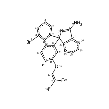 NC1=NC(c2cccc(Br)c2)(c2ccnc(OC=C(F)F)c2)c2cccnc21